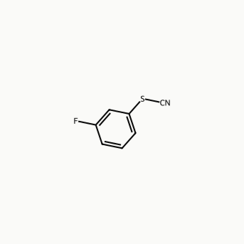 N#CSc1cccc(F)c1